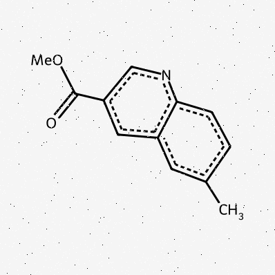 COC(=O)c1cnc2ccc(C)cc2c1